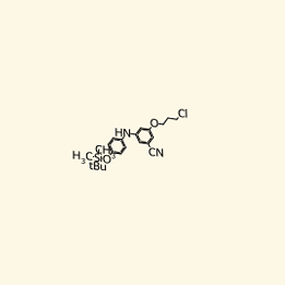 CC(C)(C)[Si](C)(C)Oc1ccc(Nc2cc(C#N)cc(OCCCCl)c2)cc1